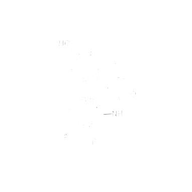 O=C1Nc2c(ccc(F)c2F)C1(c1ccc(O)cc1)C1CCCC1